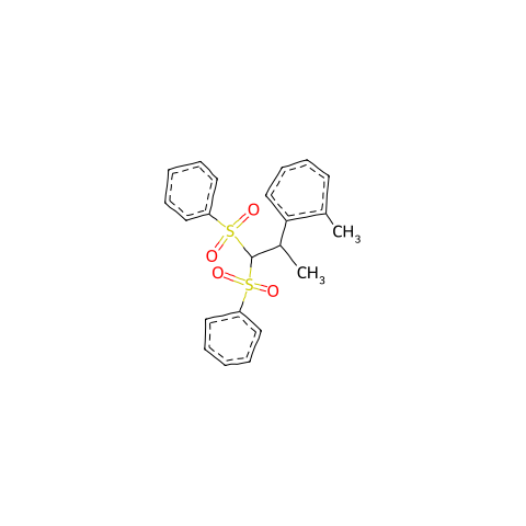 Cc1ccccc1C(C)C(S(=O)(=O)c1ccccc1)S(=O)(=O)c1ccccc1